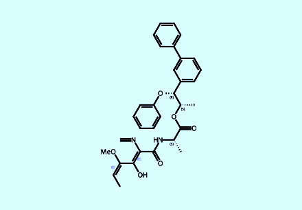 C=N/C(C(=O)N[C@@H](C)C(=O)O[C@@H](C)[C@H](Oc1ccccc1)c1cccc(-c2ccccc2)c1)=C(O)\C(=C/C)OC